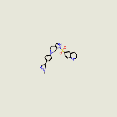 Cn1cc(-c2ccc(N3CCc4cnn(S(=O)(=O)c5ccc6ncccc6c5)c4C3)cc2)cn1